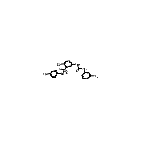 CCc1ccc(NC(=O)Nc2cccc(C(F)(F)F)c2)cc1S(=O)(=O)Nc1ccc(Cl)cc1